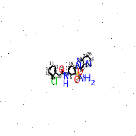 NS(=O)(=O)c1cc(NC(=O)Cc2ccccc2Cl)ccc1-n1cc2ncccc2n1